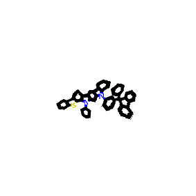 c1ccc(-n2c3cc4c(cc3c3ccc5c6ccccc6sc5c32)c2ccccc2n4-c2cccc(C3(c4ccccc4)c4ccccc4-c4ccccc43)c2)cc1